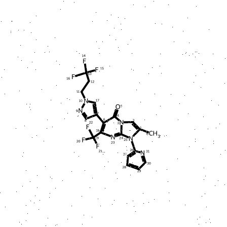 Cc1cn2c(=O)c(-c3cnn(CCC(F)(F)F)c3)c(C(F)(F)F)nc2n1-c1ccccn1